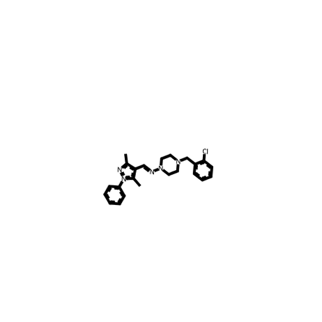 Cc1nn(-c2ccccc2)c(C)c1C=NN1CCN(Cc2ccccc2Cl)CC1